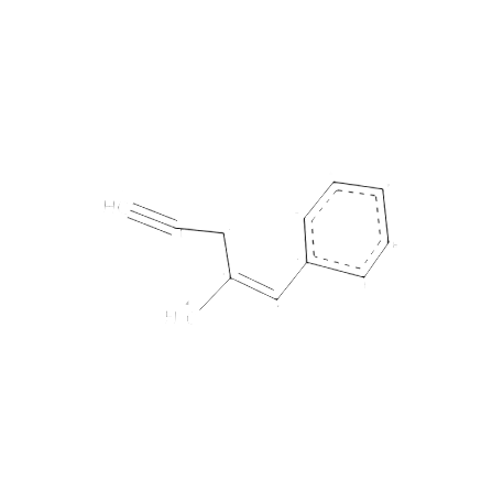 C#CCC(C)=Cc1ccccc1